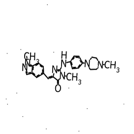 CN1CCN(c2ccc(NC3=N/C(=C\c4ccc5c(cnn5C)c4)C(=O)N3C)cc2)CC1